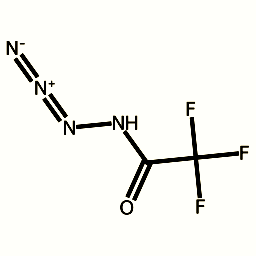 [N-]=[N+]=NNC(=O)C(F)(F)F